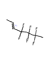 C/C=C/C(F)(F)C(F)(F)C(C)(F)F